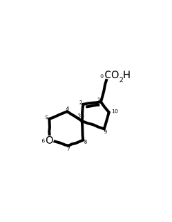 O=C(O)C1=CC2(CCOCC2)CC1